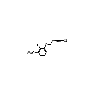 CCC#CCCOc1cccc(NC)c1F